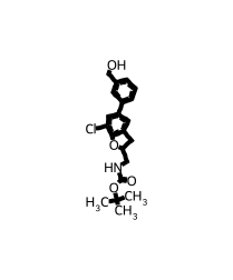 CC(C)(C)OC(=O)NCC1Cc2cc(-c3cccc(CO)c3)cc(Cl)c2O1